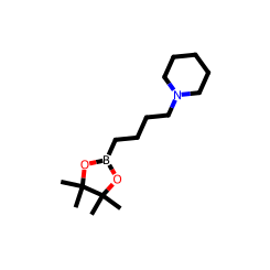 CC1(C)OB(CCCCN2CCCCC2)OC1(C)C